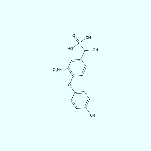 N#Cc1ccc(Oc2ccc(C(O)P(=O)(O)O)cc2[N+](=O)[O-])cc1